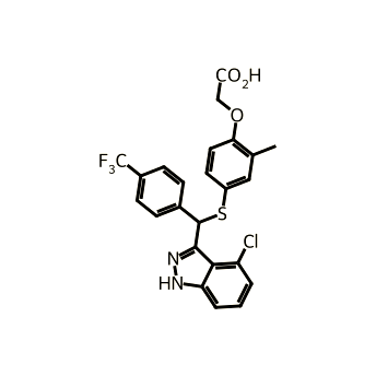 Cc1cc(SC(c2ccc(C(F)(F)F)cc2)c2n[nH]c3cccc(Cl)c23)ccc1OCC(=O)O